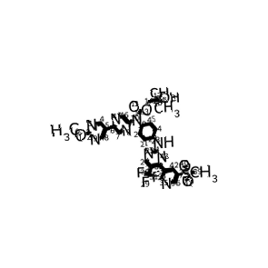 COc1ncc(-c2cnc(N(C(=O)OCC(C)(C)O)[C@H]3CC[C@H](Nc4ncc(C(F)(F)F)c(-c5cncc(S(C)(=O)=O)c5)n4)CC3)cn2)cn1